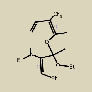 C=C/C(=C(/C)OC(C)(OCC)/C(=C\CC)NCC)C(F)(F)F